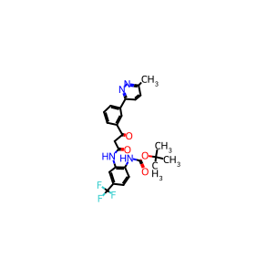 Cc1ccc(-c2cccc(C(=O)CC(=O)Nc3cc(C(F)(F)F)ccc3NC(=O)OC(C)(C)C)c2)nn1